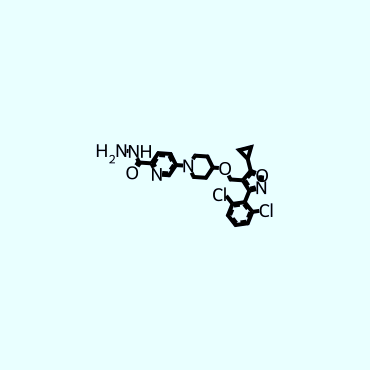 NNC(=O)c1ccc(N2CCC(OCc3c(-c4c(Cl)cccc4Cl)noc3C3CC3)CC2)cn1